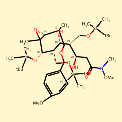 COc1ccc(COC[C@H](C)[C@H]2OC2(C)[C@@H](O[Si](C)(C)C(C)(C)C)[C@@H](CO[Si](C)(C)C(C)(C)C)[C@H](O)[C@H](CO[Si](C)(C)C(C)(C)C)[C@H](O)CC(=O)N(C)OC)cc1